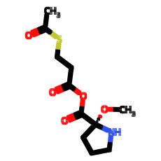 CO[C@@]1(C(=O)OC(=O)CCSC(C)=O)CCCN1